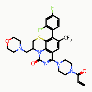 C=CC(=O)N1CCN(c2nc(=O)n3c4c(c(-c5ccc(F)cc5F)c(C(F)(F)F)cc24)SCC3CN2CCOCC2)CC1